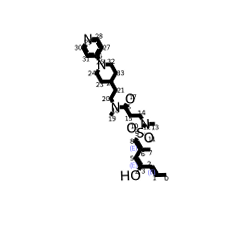 C/C=C/C(O)=C\C(C)=C\S(=O)(=O)N(C)CCC(=O)N(C)CCC1CCN(c2ccncc2)CC1